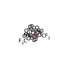 N#Cc1c(-n2c3ccccc3c3cc(C(F)(F)F)ccc32)c(-n2c3ccccc3c3cc(C(F)(F)F)ccc32)c(C#N)c(-n2c3ccccc3c3ccc4c5ccccc5n(-c5ccccc5)c4c32)c1-n1c2ccccc2c2ccc3c4ccccc4n(-c4ccccc4)c3c21